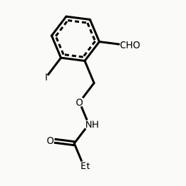 CCC(=O)NOCc1c(I)cccc1C=O